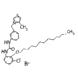 CCCCCCCCCCCCCCOc1c(Cl)cccc1NC(=O)Nc1cccc(C[n+]2cscc2C)c1.[Br-]